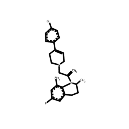 C=C(CN1CC=C(c2ccc(Br)cc2)CC1)N1c2c(N)cc(F)cc2CCC1C